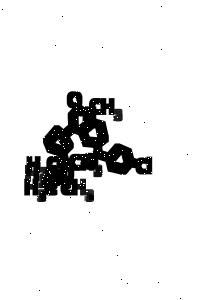 Cn1c(=O)cc(-c2cccc(C(C)(C)O[Si](C)(C)C)c2)c2cc(C(=O)c3ccc(Cl)cc3)ccc21